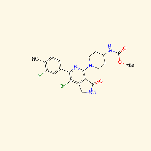 CC(C)(C)OC(=O)NC1CCN(c2nc(-c3ccc(C#N)c(F)c3)c(Br)c3c2C(=O)NC3)CC1